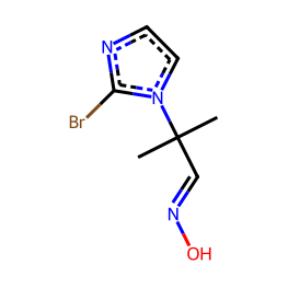 CC(C)(/C=N/O)n1ccnc1Br